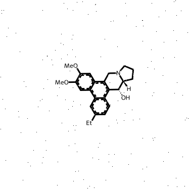 CCc1ccc2c3c(c4cc(OC)c(OC)cc4c2c1)CN1CCC[C@@H]1[C@@H]3O